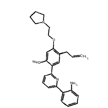 C=CCc1cc(-c2cccc(-c3ccccc3N)n2)c(OC)cc1OCCN1CCCC1